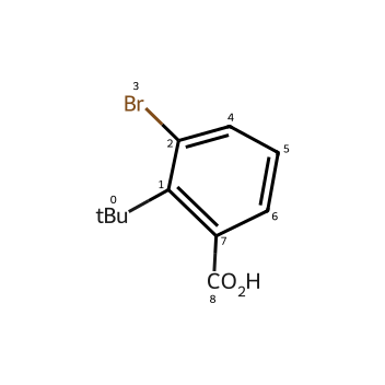 CC(C)(C)c1c(Br)cccc1C(=O)O